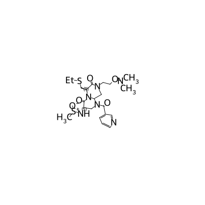 CCSC[C@H]1C(=O)N(CCON(C)C)CC2N(C(=O)c3cccnc3)C[C@H](N[S+](C)[O-])C(=O)N21